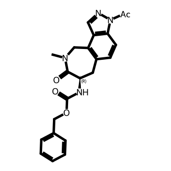 CC(=O)n1ncc2c3c(ccc21)C[C@@H](NC(=O)OCc1ccccc1)C(=O)N(C)C3